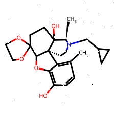 Cc1ccc(O)c2c1[C@]13CCN(CC4CC4)[C@H](C)C1(O)CCC1(OCCO1)C3O2